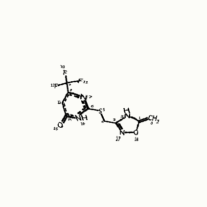 C=C1NC(CSc2nc(C(F)(F)F)cc(=O)[nH]2)=NO1